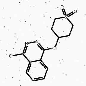 O=S1(=O)CCC(Oc2nnc(Cl)c3ccccc23)CC1